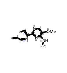 C=C/C=N\C(=C/C)c1ncc(OC)c(NC(C)C)n1